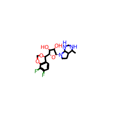 CC1NCNC2C1CCN2[C@@H]1O[C@H]([C@@H]2OCOc3c2ccc(F)c3F)[C@@H](O)[C@H]1O